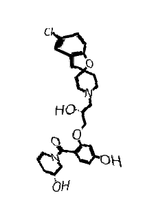 O=C(c1ccc(O)cc1OC[C@H](O)CN1CCC2(CC1)Cc1cc(Cl)ccc1O2)N1CCC[C@@H](O)C1